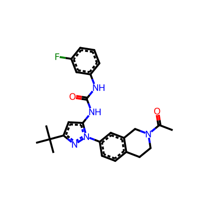 CC(=O)N1CCc2ccc(-n3nc(C(C)(C)C)cc3NC(=O)Nc3cccc(F)c3)cc2C1